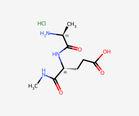 CNC(=O)[C@@H](CCC(=O)O)NC(=O)[C@H](C)N.Cl